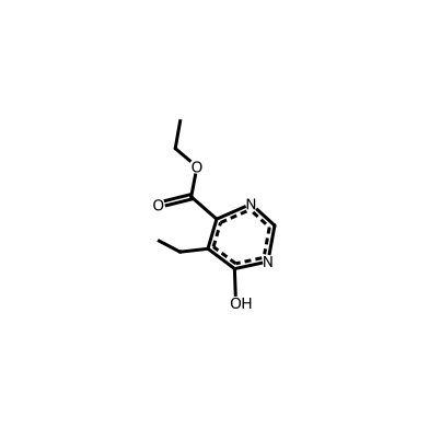 CCOC(=O)c1ncnc(O)c1CC